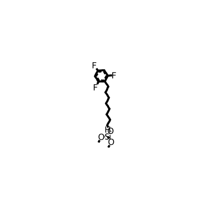 CO[SiH](OC)OCCCCCCCCc1c(F)cc(F)cc1F